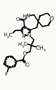 CCc1nn(CC(C)(C)COC(=O)c2cccc(F)c2)c2c1C(=O)NCC1(CCOCC1)C2